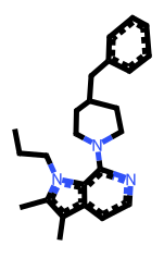 CCCn1c(C)c(C)c2ccnc(N3CCC(Cc4ccccc4)CC3)c21